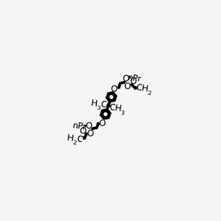 C=CC(=O)OC(CCOc1ccc(C(C)(C)c2ccc(OCCC(OCCC)OC(=O)C=C)cc2)cc1)OCCC